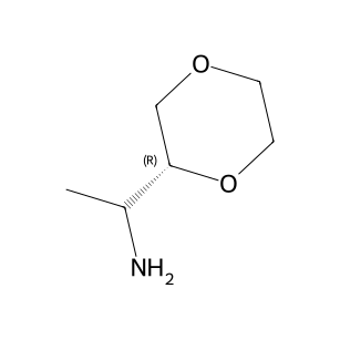 CC(N)[C@@H]1COCCO1